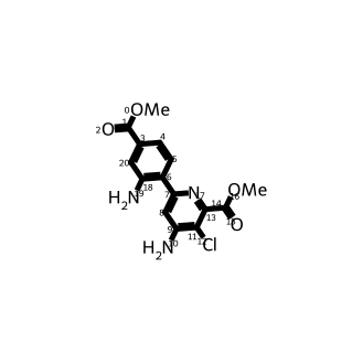 COC(=O)c1ccc(-c2cc(N)c(Cl)c(C(=O)OC)n2)c(N)c1